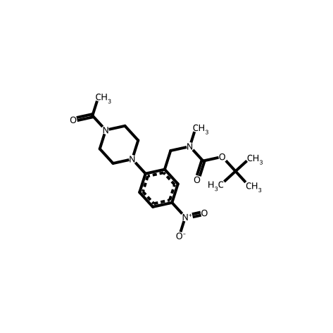 CC(=O)N1CCN(c2ccc([N+](=O)[O-])cc2CN(C)C(=O)OC(C)(C)C)CC1